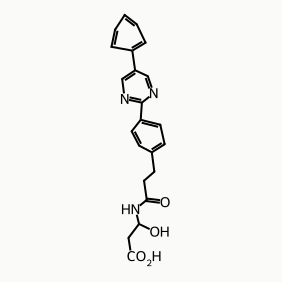 O=C(O)CC(O)NC(=O)CCc1ccc(-c2ncc(-c3ccccc3)cn2)cc1